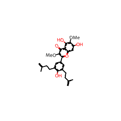 C=C(C)CCc1cc(-c2oc3cc(O)c(OC)c(O)c3c(=O)c2OC)cc(CCC(=C)C)c1O